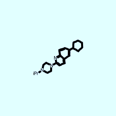 CC(C)N1CCN(c2ccc3cc(C4CCCCC4)ccc3n2)CC1